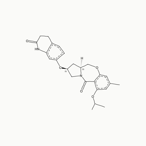 Cc1cc2c(c(OC(C)C)c1)C(=O)N1C[C@@H](Oc3ccc4c(c3)NC(=O)CC4)C[C@H]1CO2